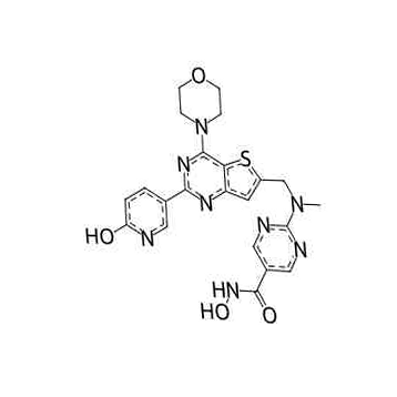 CN(Cc1cc2nc(-c3ccc(O)nc3)nc(N3CCOCC3)c2s1)c1ncc(C(=O)NO)cn1